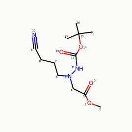 COC(=O)CN(CCCC#N)NC(=O)OC(C)(C)C